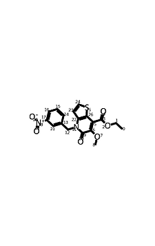 CCOC(=O)c1c(OC)c(=O)n(Cc2cccc([N+](=O)[O-])c2)c2ccsc12